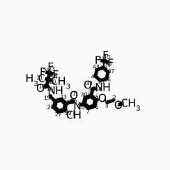 COCCOc1ccc(NC(=O)c2cc(CNC(=O)C(C)(C)C(F)(F)F)ccc2Cl)cc1C(=O)N[C@H]1CC[C@H](C(F)(F)F)CC1